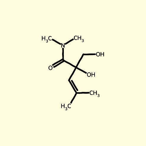 CC(C)=CC(O)(CO)C(=O)N(C)C